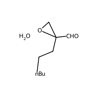 CCCCCCC1(C=O)CO1.O